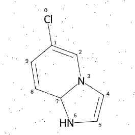 ClC1=CN2C=CNC2C=C1